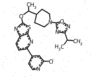 CC(C)c1noc(N2CCC(C(C)Oc3nc4ccc(-c5ccnc(Cl)c5)nc4s3)CC2)n1